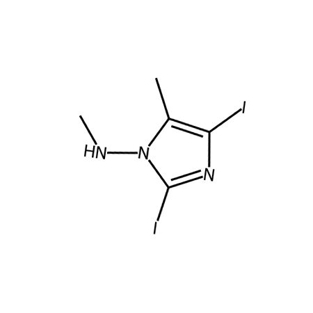 CNn1c(I)nc(I)c1C